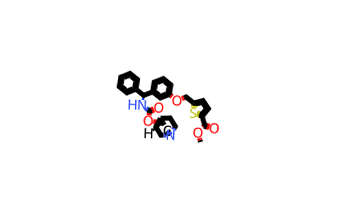 COC(=O)c1ccc(COc2cccc([C@@H](NC(=O)O[C@H]3CN4CCC3CC4)c3ccccc3)c2)s1